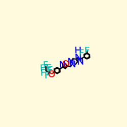 Fc1cccc(-c2nc3c([nH]2)C=NN(Cc2cc(-c4ccc(OC(F)(F)C(F)C(F)(F)F)cc4)no2)C3)c1F